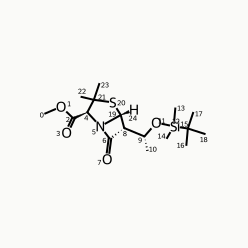 COC(=O)[C@@H]1N2C(=O)[C@@H]([C@@H](C)O[Si](C)(C)C(C)(C)C)[C@H]2SC1(C)C